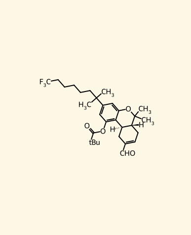 CC(C)(C)C(=O)Oc1cc(C(C)(C)CCCCCC(F)(F)F)cc2c1[C@@H]1CC(C=O)=CC[C@H]1C(C)(C)O2